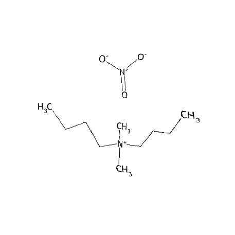 CCCC[N+](C)(C)CCCC.O=[N+]([O-])[O-]